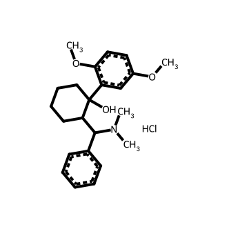 COc1ccc(OC)c(C2(O)CCCCC2C(c2ccccc2)N(C)C)c1.Cl